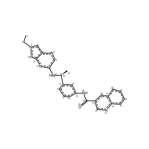 CCn1cc2ncc(N[C@@H](C)c3cccc(NC(=O)c4cnc5ccccc5c4)c3)nc2n1